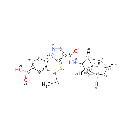 CCCSc1c(C(=O)NC2[C@H]3C[C@@H]4C[C@H]5C[C@H]2C3(C4)C5)cnn1-c1ccc(C(=O)O)cc1